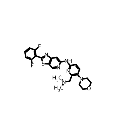 CN(C)Cc1nc(Nc2cc3nc(-c4c(F)cccc4F)sc3cn2)ccc1N1CCOCC1